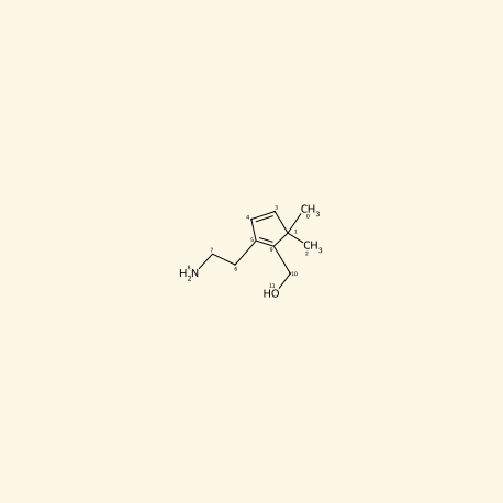 CC1(C)C=CC(CCN)=C1CO